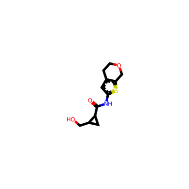 O=C(Nc1cc2c(s1)COCC2)C1CC1CO